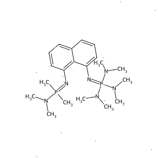 CN(C)P(C)(C)=Nc1cccc2cccc(N=P(N(C)C)(N(C)C)N(C)C)c12